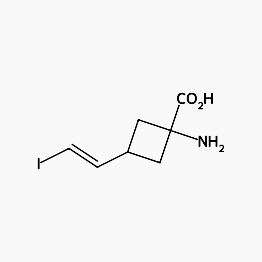 NC1(C(=O)O)CC(/C=C/I)C1